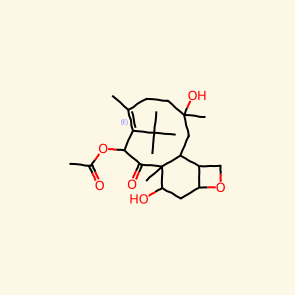 CC(=O)OC1C(=O)C2(C)C(O)CC3OCC3C2CC(C)(O)CC/C(C)=C/1C(C)(C)C